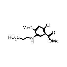 COC(=O)c1cc(NCCC(=O)O)c(OC)cc1Cl